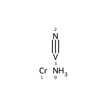 N.[Cr].[N]#[V]